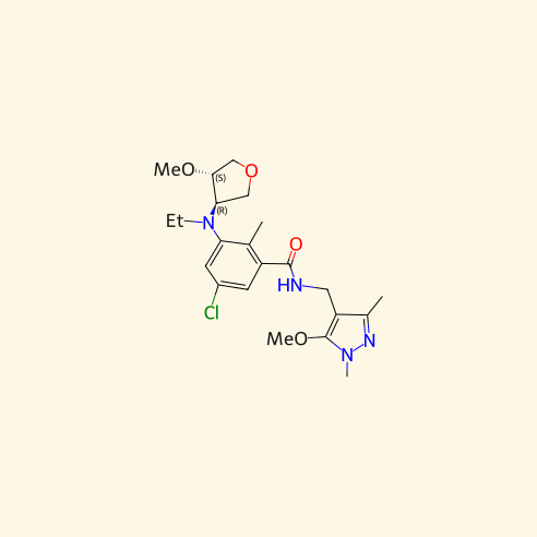 CCN(c1cc(Cl)cc(C(=O)NCc2c(C)nn(C)c2OC)c1C)[C@@H]1COC[C@H]1OC